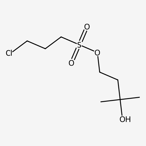 CC(C)(O)CCOS(=O)(=O)CCCCl